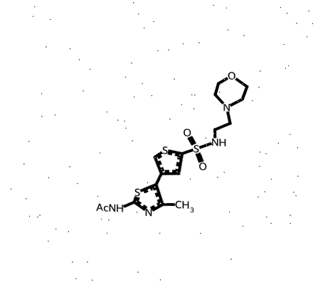 CC(=O)Nc1nc(C)c(-c2csc(S(=O)(=O)NCCN3CCOCC3)c2)s1